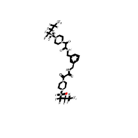 O=C(NCc1cccc(CNC(=O)C(=O)N2CCN(S(=O)(=O)C(F)(F)C(F)(F)C(F)(F)C(F)(F)F)CC2)c1)C(=O)N1CCN(S(=O)(=O)C(F)(F)C(F)(F)C(F)(F)C(F)(F)F)CC1